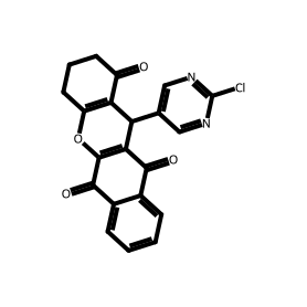 O=C1CCCC2=C1C(c1cnc(Cl)nc1)C1=C(O2)C(=O)c2ccccc2C1=O